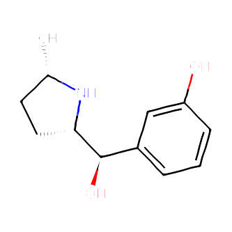 C[C@H]1CC[C@@H]([C@H](O)c2cccc(O)c2)N1